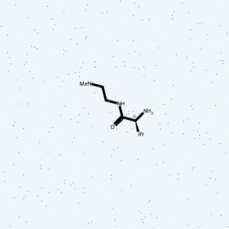 CNCCNC(=O)[C@@H](N)C(C)C